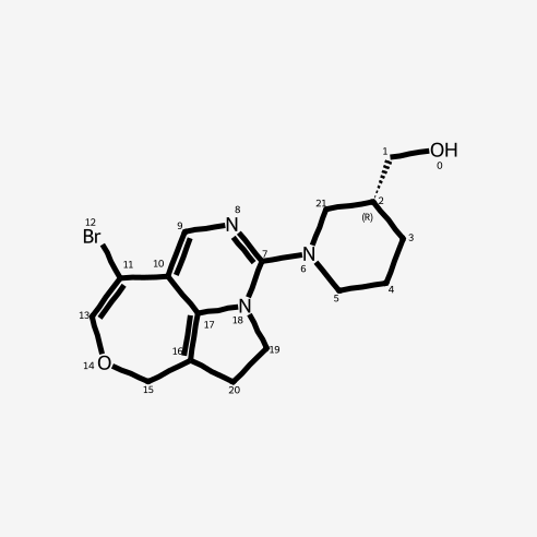 OC[C@@H]1CCCN(C2=NC=C3C(Br)=COCC4=C3N2CC4)C1